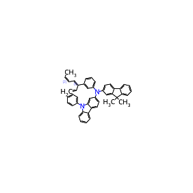 C=C/C(=C\C=C/C)c1cccc(N(c2ccc3c(c2)C(C)(C)c2ccccc2-3)c2ccc3c4ccccc4n(-c4ccccc4)c3c2)c1